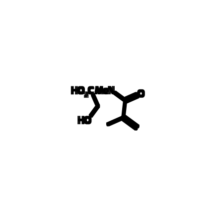 C=C(C)C(=O)NC.O=C(O)CO